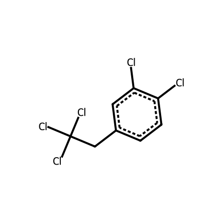 Clc1ccc(CC(Cl)(Cl)Cl)cc1Cl